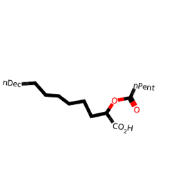 CCCCCCCCCCCCCCCCC(OC(=O)CCCCC)C(=O)O